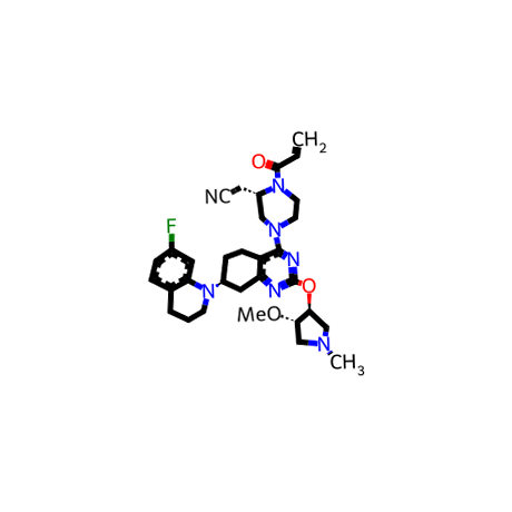 C=CC(=O)N1CCN(c2nc(O[C@H]3CN(C)C[C@@H]3OC)nc3c2CC[C@@H](N2CCCc4ccc(F)cc42)C3)C[C@@H]1CC#N